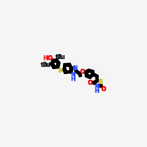 CC(Oc1ccc(CC2SC(=O)NC2=O)cc1)c1nc2ccc(Sc3cc(C(C)(C)C)c(O)c(C(C)(C)C)c3)cc2[nH]1